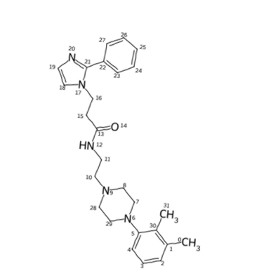 Cc1cccc(N2CCN(CCNC(=O)CCn3ccnc3-c3ccccc3)CC2)c1C